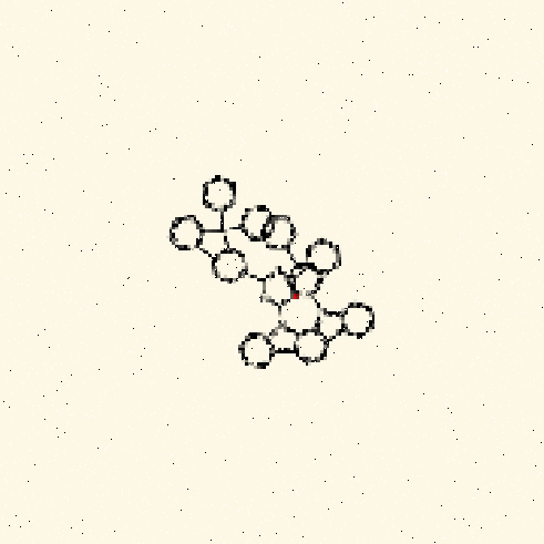 c1ccc(-c2ccc(-n3c4ccccc4c4ccc5c6ccccc6n(-c6nc(-c7ccccc7)nc(-c7ccc8c(c7)C(c7ccccc7)(c7ccccc7)c7ccccc7-8)n6)c5c43)cc2)cc1